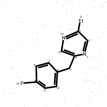 CCc1cnc(Cc2ccc(F)cc2)cn1